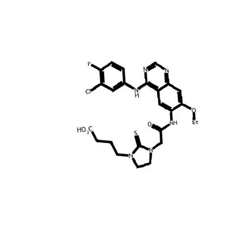 CCOc1cc2ncnc(Nc3ccc(F)c(Cl)c3)c2cc1NC(=O)CN1CCN(CCCC(=O)O)C1=S